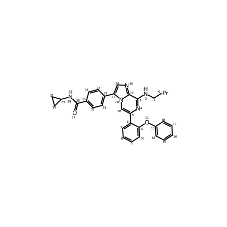 CC(C)CNc1nc(-c2ccccc2Oc2ccccc2)cn2c(-c3ccc(C(=O)NC4CC4)cc3)cnc12